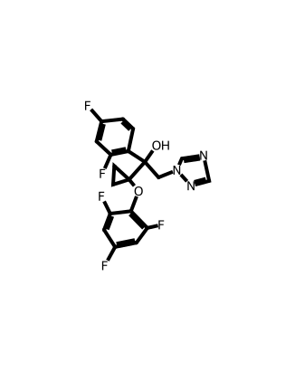 OC(Cn1cncn1)(c1ccc(F)cc1F)C1(Oc2c(F)cc(F)cc2F)CC1